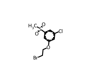 CS(=O)(=O)c1cc(Cl)cc(OCCBr)c1